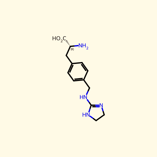 N[C@H](Cc1ccc(CNC2=NCCN2)cc1)C(=O)O